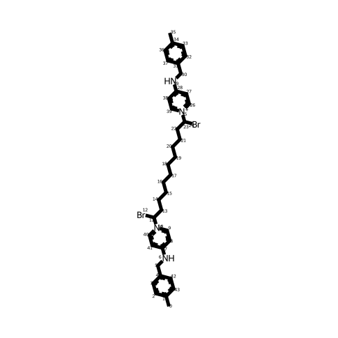 Cc1ccc(CNc2cc[n+](C(Br)CCCCCCCCCCC(Br)[n+]3ccc(NCc4ccc(C)cc4)cc3)cc2)cc1